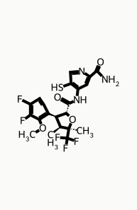 COc1c([C@H]2[C@H](C(=O)Nc3cc(C(N)=O)ncc3S)O[C@@](C)(C(F)(F)F)[C@H]2C)ccc(F)c1F